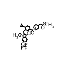 COC(=O)CC1CCN(C(=O)c2ccc(C3CC3)c(Cc3cc4ccc(OC(F)(F)F)cc4n3C)c2Cl)CC1